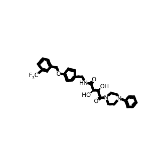 O=C(NCc1ccc(OCc2cccc(C(F)(F)F)c2)cc1)[C@H](O)[C@@H](O)C(=O)N1CCN(c2ccccc2)CC1